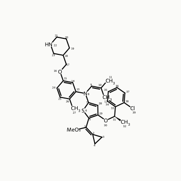 COC(=C1CC1)c1sc(N(C=C(C)C)c2cc(OCC3CCCNC3)ccc2C)cc1O[C@H](C)c1ccccc1Cl